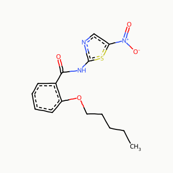 CCCCCOc1ccccc1C(=O)Nc1ncc([N+](=O)[O-])s1